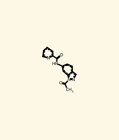 CC(=O)n1ncc2ccc(NC(=O)c3ccccn3)cc21